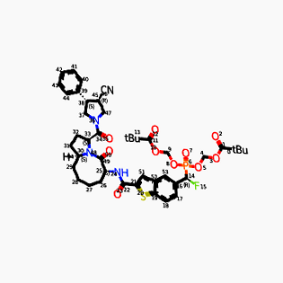 CC(C)(C)C(=O)OCOP(=O)(OCOC(=O)C(C)(C)C)[C@@H](F)c1ccc2sc(C(=O)N[C@H]3CCCC[C@H]4CC[C@@H](C(=O)N5C[C@H](c6ccccc6)[C@@H](C#N)C5)N4C3=O)cc2c1